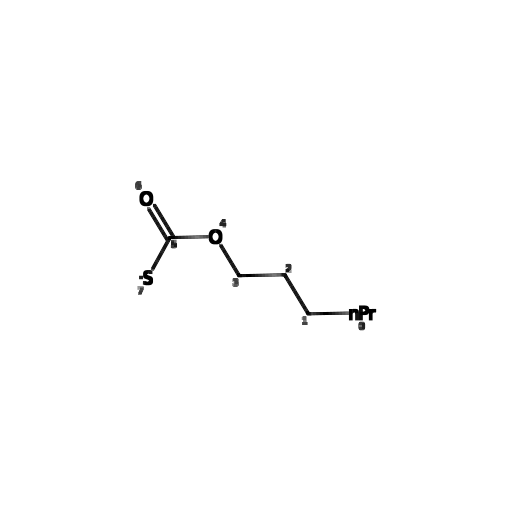 CCCCCCOC(=O)[S]